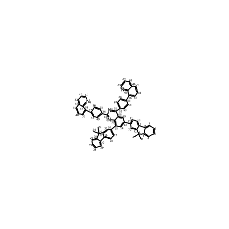 CC1(C)c2ccccc2-c2ccc(-c3cc(-c4ccc5c(c4)C(C)(C)c4ccccc4-5)c4nc(-c5ccc(-c6cccc7cccnc67)cc5)nc(-c5ccc(-c6cccc7cccnc67)cc5)c4c3)cc21